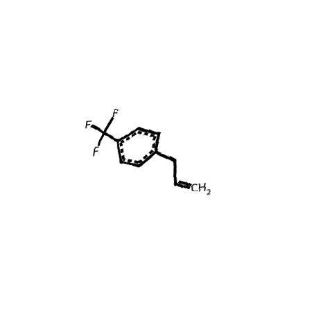 C=CCc1ccc(C(F)(F)F)cc1